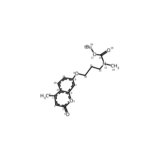 Cc1cc(=O)oc2cc(OCCCN(C)C(=O)OC(C)(C)C)ccc12